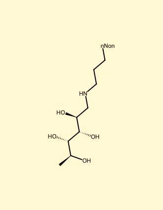 CCCCCCCCCCCCNC[C@H](O)[C@H](O)[C@@H](O)[C@H](C)O